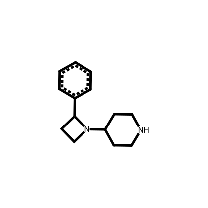 c1ccc(C2CCN2C2CCNCC2)cc1